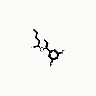 [CH2]C(CCCC)OC(=CC)c1cc(F)cc(F)c1